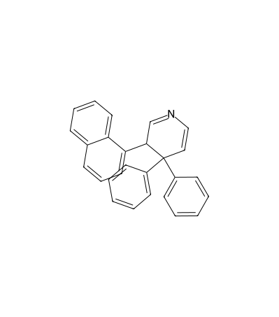 C1=CC(c2ccccc2)(c2ccccc2)C(c2cccc3ccccc23)C=N1